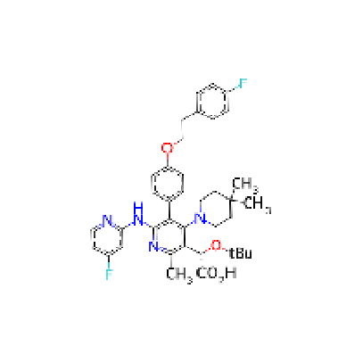 Cc1nc(Nc2cc(F)ccn2)c(-c2ccc(OCCc3ccc(F)cc3)cc2)c(N2CCC(C)(C)CC2)c1[C@H](OC(C)(C)C)C(=O)O